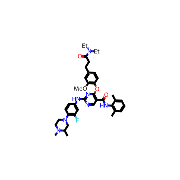 CCN(CC)C(=O)CCc1ccc(Oc2nc(Nc3ccc(N4CCN(C)C(C)C4)c(F)c3)ncc2C(=O)Nc2c(C)cccc2C)c(OC)c1